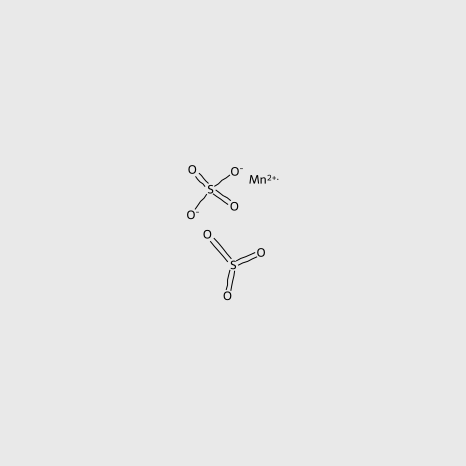 O=S(=O)([O-])[O-].O=S(=O)=O.[Mn+2]